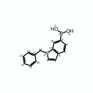 OB(O)c1ccc2ccn(Cc3ccccc3)c2c1